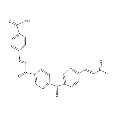 CC(=O)/C=C/c1ccc(C(=O)c2ccc(C(=O)/C=C/c3ccc(C(=O)O)cc3)cc2)cc1